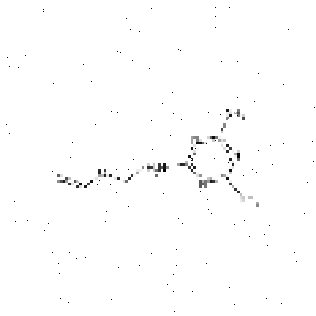 CCOC=O.Nc1nc(N)nc(N)n1